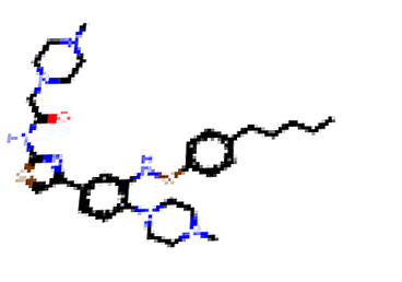 CCCCCc1ccc(SNc2cc(-c3csc(NC(=O)CN4CCN(C)CC4)n3)ccc2N2CCN(C)CC2)cc1